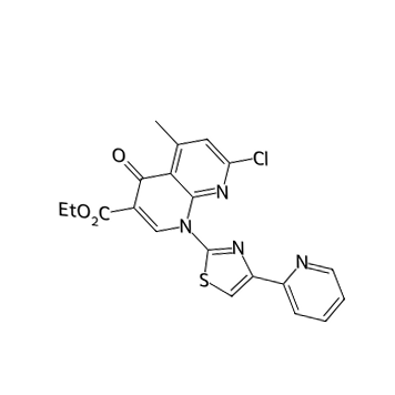 CCOC(=O)c1cn(-c2nc(-c3ccccn3)cs2)c2nc(Cl)cc(C)c2c1=O